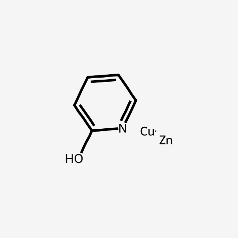 Oc1ccccn1.[Cu].[Zn]